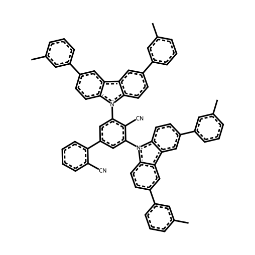 Cc1cccc(-c2ccc3c(c2)c2cc(-c4cccc(C)c4)ccc2n3-c2cc(-c3ccccc3C#N)cc(-n3c4ccc(-c5cccc(C)c5)cc4c4cc(-c5cccc(C)c5)ccc43)c2C#N)c1